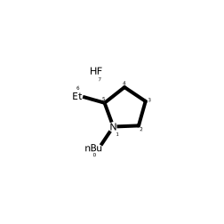 CCCCN1CCCC1CC.F